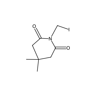 CC1(C)CC(=O)N(CI)C(=O)C1